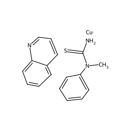 CN(C(N)=S)c1ccccc1.[Cu].c1ccc2ncccc2c1